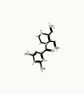 C=CC1=C(C=N)N(C(=O)c2cc(O)nc(O)n2)CCO1